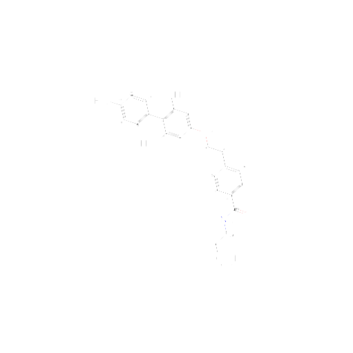 Cc1cc(OCCc2ccc(C(=O)NCCC(=O)O)cc2)cc(C)c1-c1ccc(C(F)(F)F)cc1